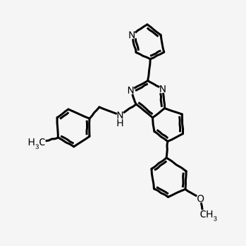 COc1cccc(-c2ccc3nc(-c4cccnc4)nc(NCc4ccc(C)cc4)c3c2)c1